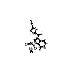 N#Cc1csc(C(=O)c2cn(P(=O)(N=O)N=O)c3c(F)cccc23)n1